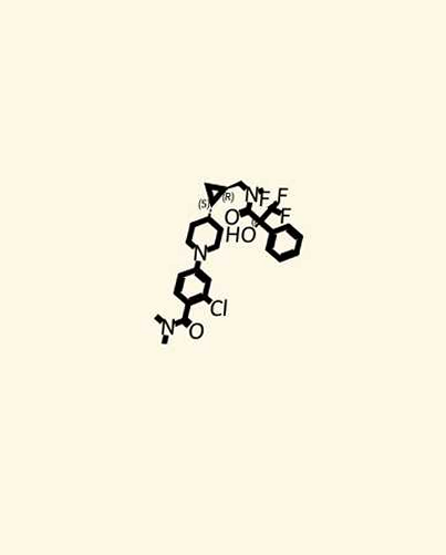 CN(C)C(=O)c1ccc(N2CCC([C@@H]3C[C@H]3CN(C)C(=O)[C@](O)(c3ccccc3)C(F)(F)F)CC2)cc1Cl